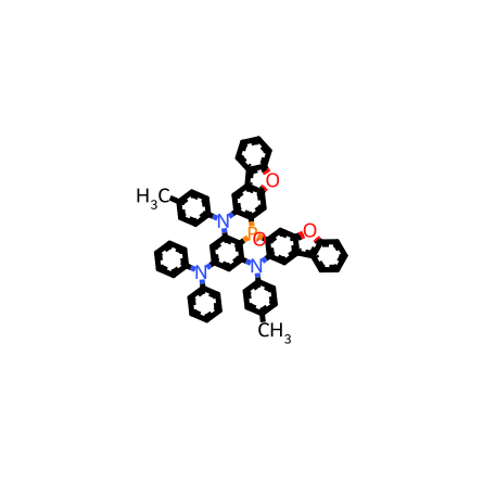 Cc1ccc(N2c3cc4c(cc3P3(=O)c5cc6oc7ccccc7c6cc5N(c5ccc(C)cc5)c5cc(N(c6ccccc6)c6ccccc6)cc2c53)oc2ccccc24)cc1